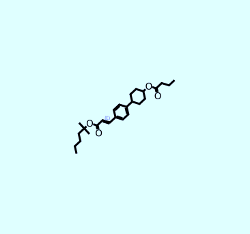 CCCCC(C)(C)OC(=O)/C=C/c1ccc(C2CCC(OC(=O)CCC)CC2)cc1